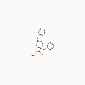 CCOC(=O)C1(Cc2ccccc2C)CCN(Cc2ccccc2)CC1